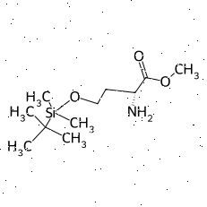 COC(=O)[C@H](N)CCO[Si](C)(C)C(C)(C)C